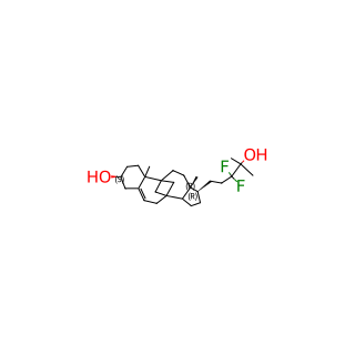 CC(C)(O)C(F)(F)CC[C@H]1CCC2C34CC=C5C[C@@H](O)CCC5(C)C(CC[C@@]21C)(C3)C4